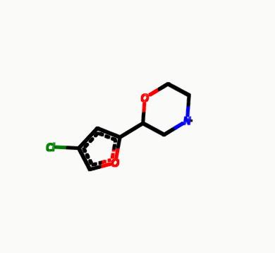 Clc1coc(C2C[N]CCO2)c1